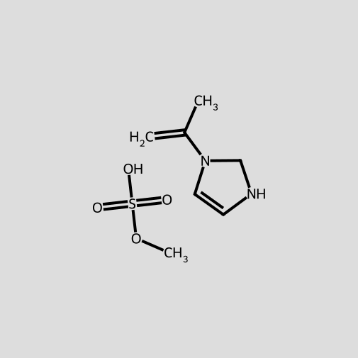 C=C(C)N1C=CNC1.COS(=O)(=O)O